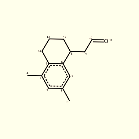 Cc1cc(C)c2c(c1)C(CC=O)CCC2